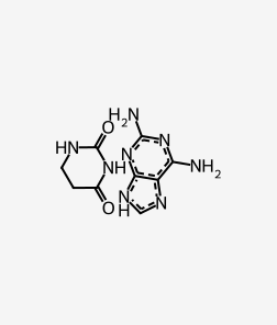 Nc1nc(N)c2nc[nH]c2n1.O=C1CCNC(=O)N1